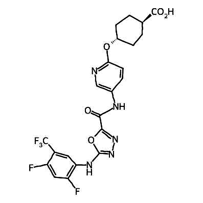 O=C(Nc1ccc(O[C@H]2CC[C@H](C(=O)O)CC2)nc1)c1nnc(Nc2cc(C(F)(F)F)c(F)cc2F)o1